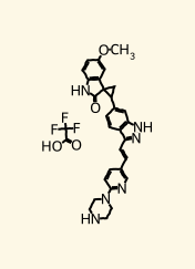 COc1ccc2c(c1)C1(CC1c1ccc3c(/C=C/c4ccc(N5CCNCC5)nc4)n[nH]c3c1)C(=O)N2.O=C(O)C(F)(F)F